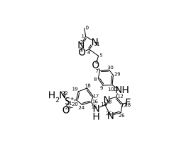 Cc1noc(COc2ccc(Nc3nc(Nc4cccc([S+](N)[O-])c4)ncc3F)cc2)n1